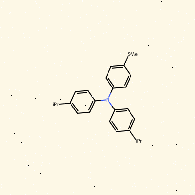 CSc1ccc(N(c2ccc(C(C)C)cc2)c2ccc(C(C)C)cc2)cc1